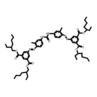 CCCCC(CC)COC(=O)c1cc(N=Nc2ccc(NC(=O)Nc3ccc(N=Nc4cc(C(=O)OC(CC)CCCC)cc(C(=O)OC(CC)CCCC)c4)c(C)c3)cc2C)cc(C(=O)OCC(CC)CCCC)c1